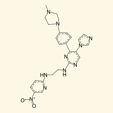 CN1CCN(c2ccc(-c3nc(NCCNc4ccc([N+](=O)[O-])cn4)ncc3-n3ccnc3)cc2)CC1